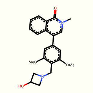 COc1cc(-c2cn(C)c(=O)c3ccccc23)cc(OC)c1CN1CC(O)C1